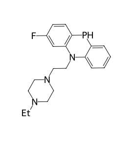 CCN1CCN(CCN2c3ccccc3Pc3ccc(F)cc32)CC1